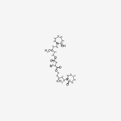 CC(CCOC(=O)C(Br)CC(=O)OCCC(C)CCN1CCCCCC1O)CCN1CCCCCC1=O